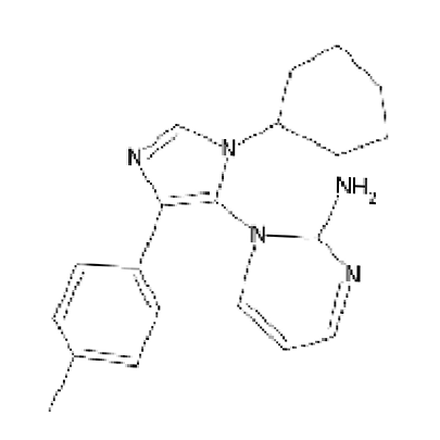 Cc1ccc(-c2ncn(C3CCCCC3)c2N2C=CC=NC2N)cc1